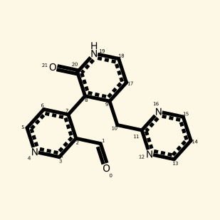 O=Cc1[c]nccc1-c1c(Cc2ncccn2)cc[nH]c1=O